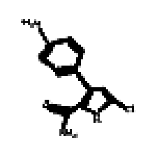 NC(=O)c1[nH]c(Cl)cc1-c1ccc(N)cc1